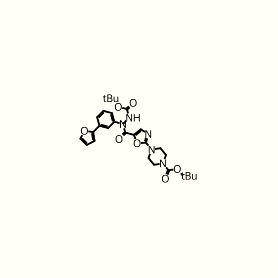 CC(C)(C)OC(=O)NN(C(=O)c1cnc(N2CCN(C(=O)OC(C)(C)C)CC2)o1)c1cccc(-c2ccco2)c1